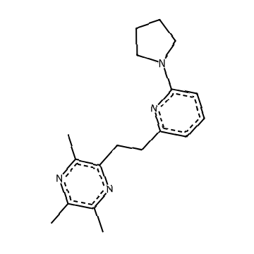 Cc1nc(C)c(CCc2cccc(N3CCCC3)n2)nc1C